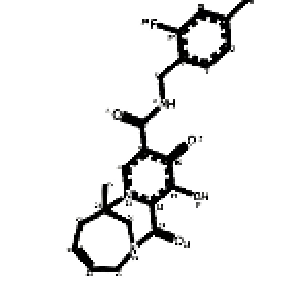 Cc1ccc(CNC(=O)c2cn3c(c(O)c2=O)C(=O)N2CC=CCC3(C)C2)c(F)c1